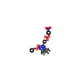 CC(C)(C)n1nc([C@@H]2CC[C@H](OC(=O)Oc3ccc([N+](=O)[O-])cc3)C2)cc1NC(=O)OCc1ccccc1